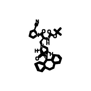 CC(C)(C)OC(=O)N[C@@H](CN1C[C@@H]2C[C@H]1C(=O)N2C1c2ccccc2CCc2ccccc21)C(=O)N1CCC[C@H]1C#N